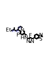 C\C=C/C(=C\C(C)=C\CC)c1ncc(CNc2ncnc(-c3ccc4ncsc4c3)c2F)cc1F